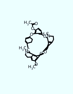 COc1cc2c3c4ccoc5cc6c(cc5oc14)CCN(C)C6Cc1ccc(OC(C)=O)c(c1)OC1=CC=C(CC1)CC3N(C)CC2